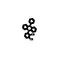 N#Cc1cccc(N2c3ccccc3B(c3ccccc3)c3ccccc32)c1C#N